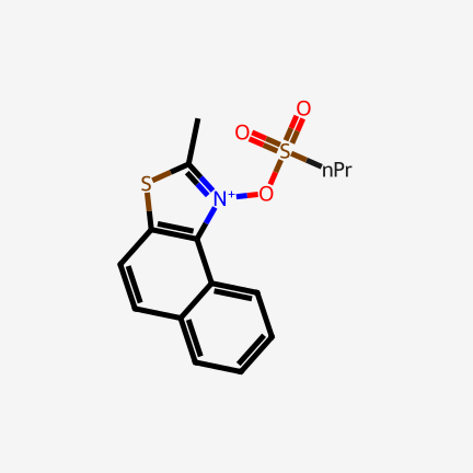 CCCS(=O)(=O)O[n+]1c(C)sc2ccc3ccccc3c21